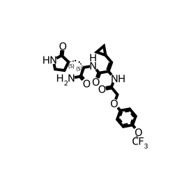 NC(=O)[C@H](C[C@@H]1CCNC1=O)NC(=O)C(=CC1CC1)NC(=O)COc1ccc(OC(F)(F)F)cc1